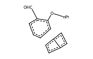 CCCOc1ccccc1C=O.c1cc2ccc1-2